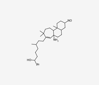 CC(CCCC(O)C(C)C)CCC1=CC2(N)CCC3CC(N=O)CCC3(C)C2CCC1(C)C